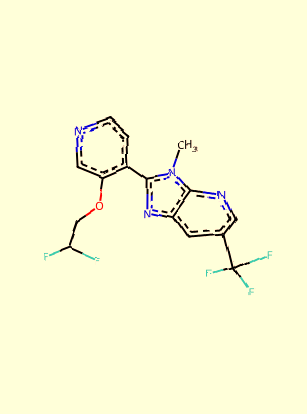 Cn1c(-c2ccncc2OCC(F)F)nc2cc(C(F)(F)F)cnc21